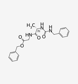 C[C@H](NC(=O)NCc1ccccc1)C(=O)NCC(=O)OCc1ccccc1